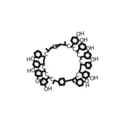 CC1CC(c2cccc(O)c2)CC(c2cccc(O)c2)CC(c2cccc(O)c2)CC(c2cccc(O)c2)CC(C)c2ccc(cc2)C(C)C(c2cccc(O)c2)CC(c2ccc(O)cc2)CC(c2cccc(O)c2)CC(c2cccc(O)c2)CC(c2cccc(O)c2)CC(c2ccc(O)cc2)CC(C)c2ccc1cc2